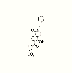 O=C(O)CCNC(=O)c1ncc2c(=O)n(CCc3ccccc3)ccc2c1O